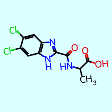 CC(NC(=O)c1nc2cc(Cl)c(Cl)cc2[nH]1)C(=O)O